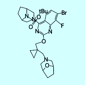 CC(C)(C)OC(=O)N1C2CCC1CN(c1nc(OCC3(CN4CC5CCC(C4)O5)CC3)nc3c(F)c(Br)ccc13)C2